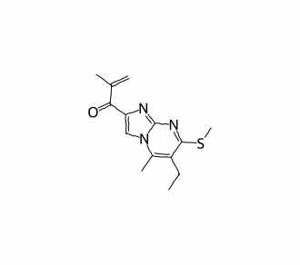 C=C(C)C(=O)c1cn2c(C)c(CC)c(SC)nc2n1